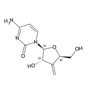 C=C1[C@H](CO)O[C@H](n2ccc(N)nc2=O)[C@H]1O